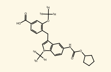 [2H]C([2H])([2H])Oc1cc(C(=O)O)ccc1Cc1cn(C([2H])([2H])[2H])c2ccc(NC(=O)OC3CCCC3)cc12